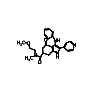 COCCN(C)C(=O)C1CC(=O)c2c([nH]c(-c3ccncc3)c2Nc2ccccc2)C1